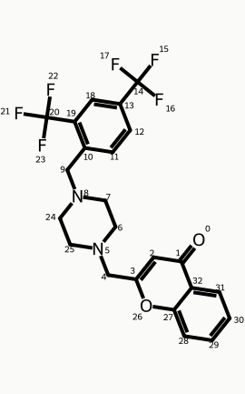 O=c1cc(CN2CCN(Cc3ccc(C(F)(F)F)cc3C(F)(F)F)CC2)oc2ccccc12